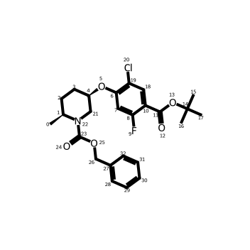 C[C@H]1CC[C@@H](Oc2cc(F)c(C(=O)OC(C)(C)C)cc2Cl)CN1C(=O)OCc1ccccc1